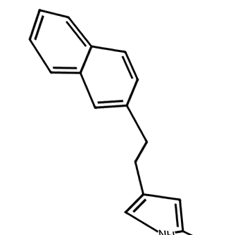 O=C(O)c1cc(CCc2ccc3ccccc3c2)c[nH]1